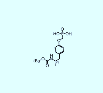 C[C@@H](Cc1ccc(OCP(=O)(O)O)cc1)NC(=O)OC(C)(C)C